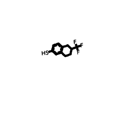 FC(F)(F)C1CCc2cc(S)ccc2C1